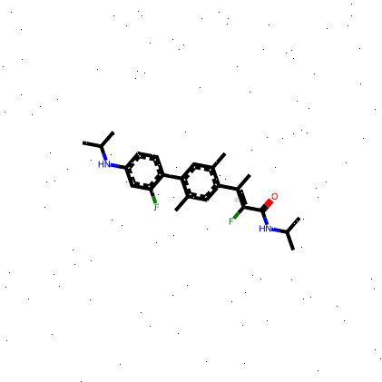 C/C(=C(/F)C(=O)NC(C)C)c1cc(C)c(-c2ccc(NC(C)C)cc2F)cc1C